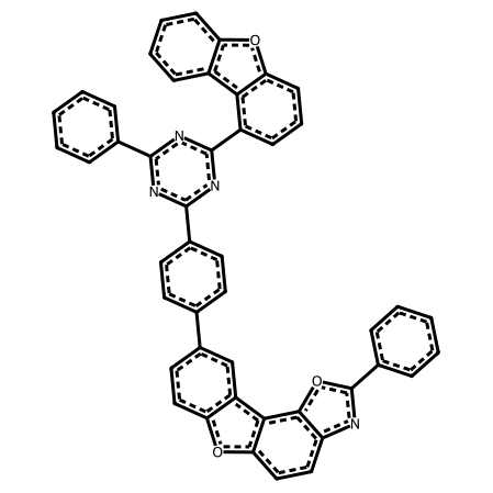 c1ccc(-c2nc(-c3ccc(-c4ccc5oc6ccc7nc(-c8ccccc8)oc7c6c5c4)cc3)nc(-c3cccc4oc5ccccc5c34)n2)cc1